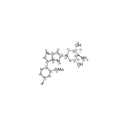 COc1cc(F)ccc1-c1cnc2sc(N3C[C@@H](O)[C@](C)(N)[C@@H](O)C3)nn12